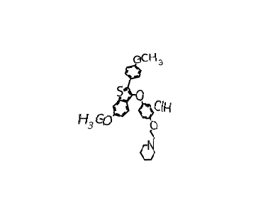 COc1ccc(-c2sc3cc(OC)ccc3c2Oc2ccc(OCCN3CCCCC3)cc2)cc1.Cl